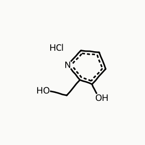 Cl.OCc1ncccc1O